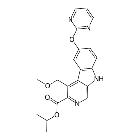 COCc1c(C(=O)OC(C)C)ncc2[nH]c3ccc(Oc4ncccn4)cc3c12